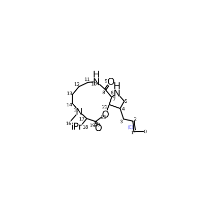 C/C=C/CC1CNC2C(=O)NCCCCN(C)C(C(C)C)C(=O)OC12